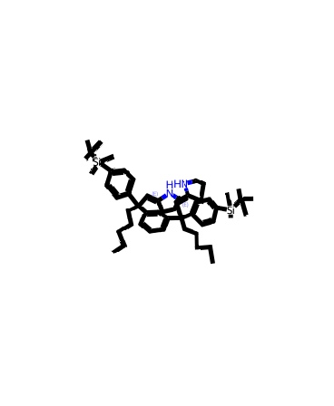 CCCCCC(/C=C1\CCCN1)(c1ccc([Si](C)(C)C(C)(C)C)cc1)c1cccc(C(/C=C2\CCCN2)(CCCCC)c2ccc([Si](C)(C)C(C)(C)C)cc2)c1